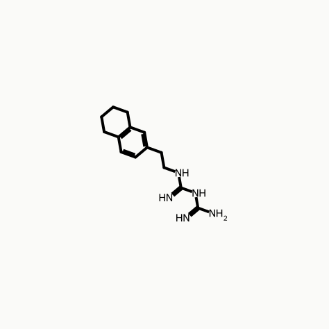 N=C(N)NC(=N)NCCc1ccc2c(c1)CCCC2